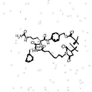 CC(C)(C)C(=O)OCc1ccc(NC(=O)[C@H](CCCNC(N)=O)NC(=O)[C@@H](Cc2ccccc2)NC(=O)CCCCCN2C(=O)CC(C(C)(C)C)C2=O)cc1